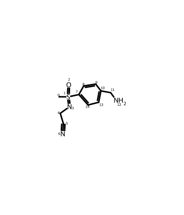 CS(=O)(=NCC#N)c1ccc(CN)cc1